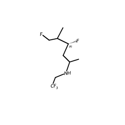 CC(C[C@@H](F)C(C)CF)NCC(F)(F)F